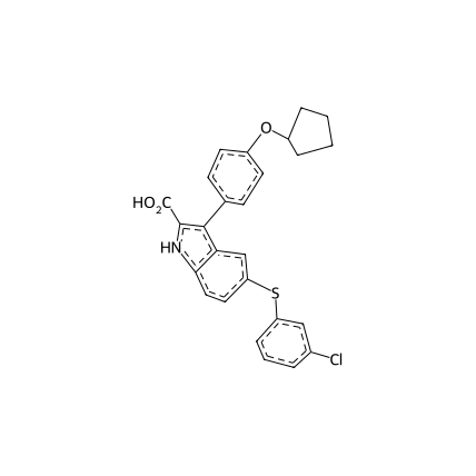 O=C(O)c1[nH]c2ccc(Sc3cccc(Cl)c3)cc2c1-c1ccc(OC2CCCC2)cc1